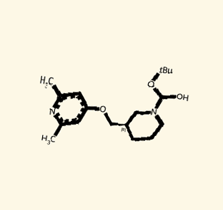 Cc1cc(OC[C@@H]2CCCN(C(O)OC(C)(C)C)C2)cc(C)n1